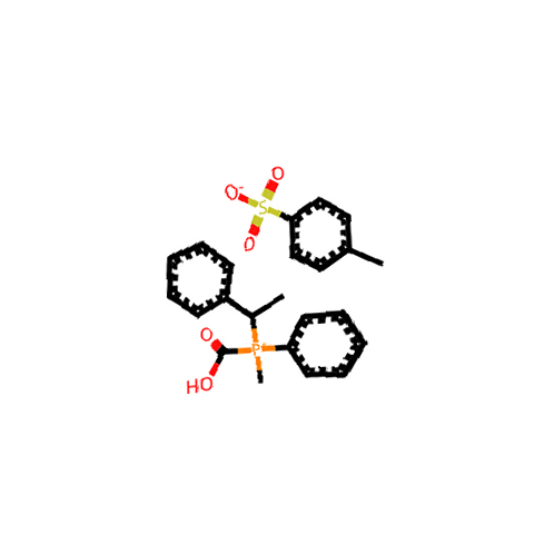 CC(c1ccccc1)[P+](C)(C(=O)O)c1ccccc1.Cc1ccc(S(=O)(=O)[O-])cc1